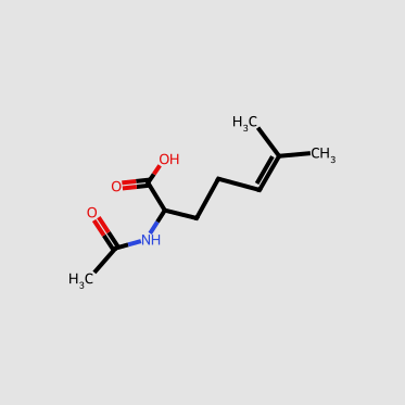 CC(=O)NC(CCC=C(C)C)C(=O)O